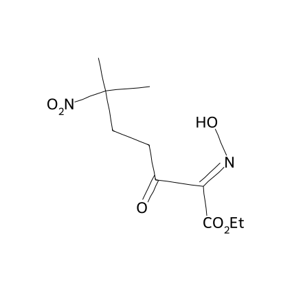 CCOC(=O)/C(=N/O)C(=O)CCC(C)(C)[N+](=O)[O-]